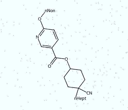 CCCCCCCCCOc1ccc(C(=O)OC2CCC(C#N)(CCCCCCC)CC2)cn1